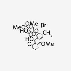 COc1c2c(c(O)c3c1=CC(C)CC=3OC1(OCCBr)COC(O)(C(OC)OC)C13CO3)C(=O)CCC2